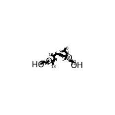 CC(C)CC(C)(C#CCC(C)CC(C)OCCO)OCCO